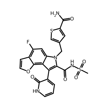 CS(=O)(=O)NC(=O)c1c(-c2ccc[nH]c2=O)c2c3occc3c(F)cc2n1Cc1csc(C(N)=O)c1